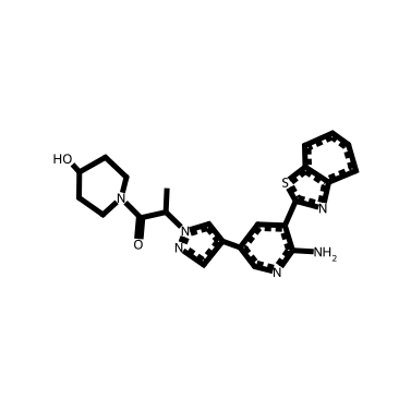 CC(C(=O)N1CCC(O)CC1)n1cc(-c2cnc(N)c(-c3nc4ccccc4s3)c2)cn1